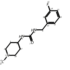 CN1CCC(NC(=O)NCc2cccc(F)c2)CC1